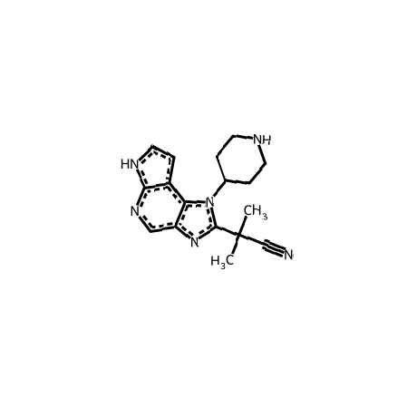 CC(C)(C#N)c1nc2cnc3[nH]ccc3c2n1C1CCNCC1